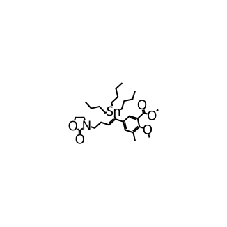 CCC[CH2][Sn]([CH2]CCC)([CH2]CCC)/[C](=C\CCN1CCOC1=O)c1cc(C)c(OC)c(C(=O)OC)c1